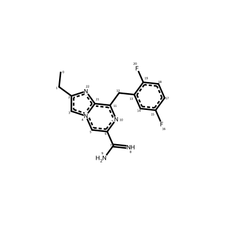 CCc1cn2cc(C(=N)N)nc(Cc3cc(F)ccc3F)c2n1